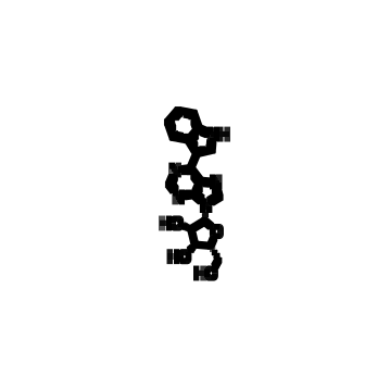 OC[C@H]1O[C@@H](n2cnc3c(-c4c[nH]c5ccccc45)ncnc32)[C@H](O)[C@@H]1O